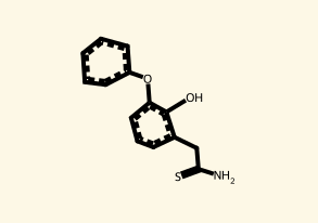 NC(=S)Cc1cccc(Oc2ccccc2)c1O